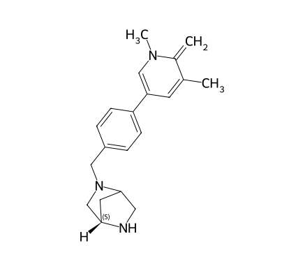 C=C1C(C)=CC(c2ccc(CN3C[C@@H]4CC3CN4)cc2)=CN1C